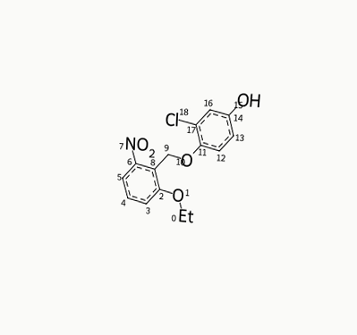 CCOc1cccc([N+](=O)[O-])c1COc1ccc(O)cc1Cl